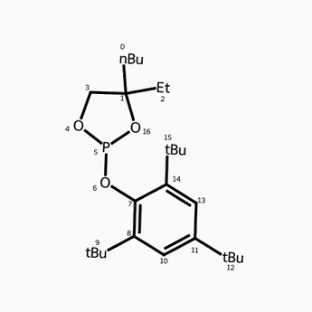 CCCCC1(CC)COP(Oc2c(C(C)(C)C)cc(C(C)(C)C)cc2C(C)(C)C)O1